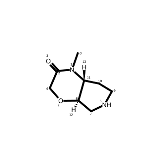 CN1C(=O)CO[C@@H]2CNCC[C@H]21